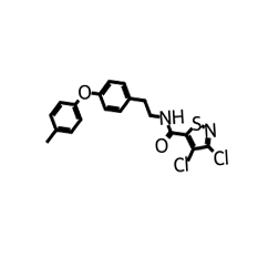 Cc1ccc(Oc2ccc(CCNC(=O)c3snc(Cl)c3Cl)cc2)cc1